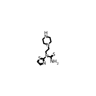 NC(=S)N(CCN1CCNCC1)c1nccs1